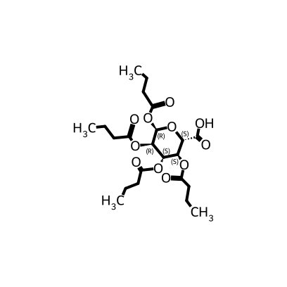 CCCC(=O)O[C@H]1O[C@H](C(=O)O)[C@@H](OC(=O)CCC)[C@H](OC(=O)CCC)[C@H]1OC(=O)CCC